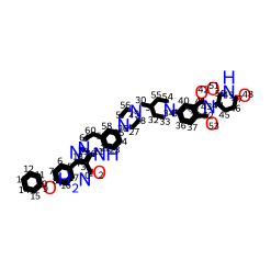 NC(=O)c1c(-c2ccc(Oc3ccccc3)cc2)nn2c1Nc1ccc(N3CCN(CC4CCN(c5ccc6c(c5)C(=O)N(C5CCC(=O)NC5=O)C6=O)CC4)CC3)cc1CC2